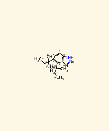 CCC(C)(C)c1ccc2[nH]nnc2c1C(C)(C)CC